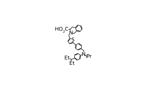 CCC(CC)c1ccc(N(Cc2ccc(-c3ccc(CN4Cc5ccccc5CC4C(=O)O)s3)cc2)C(C)C)cc1